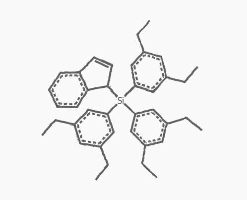 CCc1cc(CC)cc([Si]([C]2C=Cc3ccccc32)(c2cc(CC)cc(CC)c2)c2cc(CC)cc(CC)c2)c1